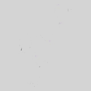 CC/C=C\C/C=C\C/C=C\C[C@H]1CC[C@H](O)[C@H]1/C=C/[C@H](O)CCC(=O)O